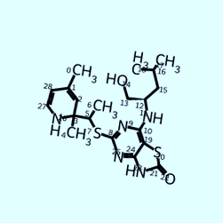 CC1=CC(C)(C(C)Sc2nc(N[C@@H](CO)CC(C)C)c3sc(=O)[nH]c3n2)NC=C1